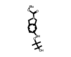 CC(C)(C)OC(=O)N1Cc2ccc(BOC(C)(C)C(C)(C)O)cc2C1